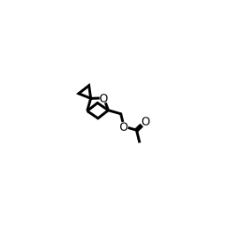 CC(=O)OCC12CC(C1)C1(CC1)O2